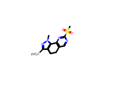 CCOC(=O)c1nn(C)c2c1CCc1cnc(S(C)(=O)=O)nc1-2